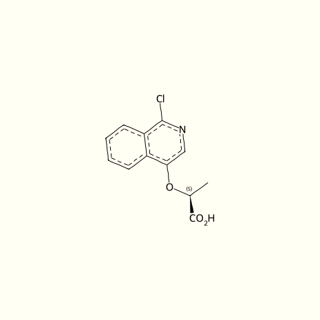 C[C@H](Oc1cnc(Cl)c2ccccc12)C(=O)O